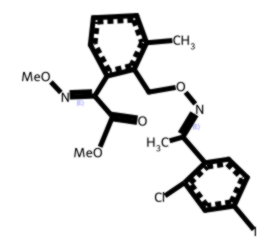 CO/N=C(/C(=O)OC)c1cccc(C)c1CO/N=C(\C)c1ccc(I)cc1Cl